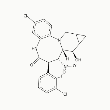 O=C1Nc2cc(Cl)ccc2N2CC3CC3[C@@H](O)[C@@H]2[C@H]([N+](=O)[O-])[C@H]1c1cccc(Cl)c1F